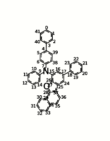 c1ccc(-c2ccc(N(c3ccccc3)c3cc(-c4ccccc4)cc4c3oc3c5ccccc5ccc43)cc2)cc1